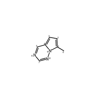 Cc1ccc2cncnn12